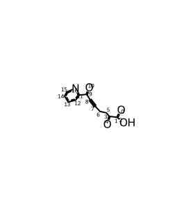 O=C(O)C(=O)CCC#CC(=O)c1ccccn1